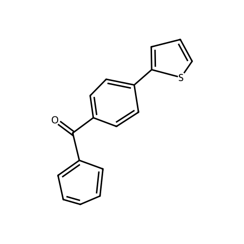 O=C(c1ccccc1)c1ccc(-c2cccs2)cc1